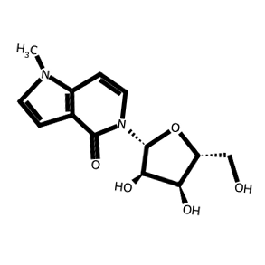 Cn1ccc2c(=O)n([C@@H]3O[C@H](CO)[C@@H](O)[C@H]3O)ccc21